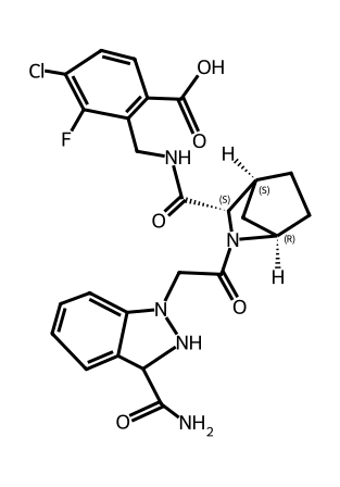 NC(=O)C1NN(CC(=O)N2[C@@H]3CC[C@@H](C3)[C@H]2C(=O)NCc2c(C(=O)O)ccc(Cl)c2F)c2ccccc21